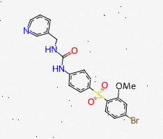 COc1cc(Br)ccc1S(=O)(=O)c1ccc(NC(=O)NCc2cccnc2)cc1